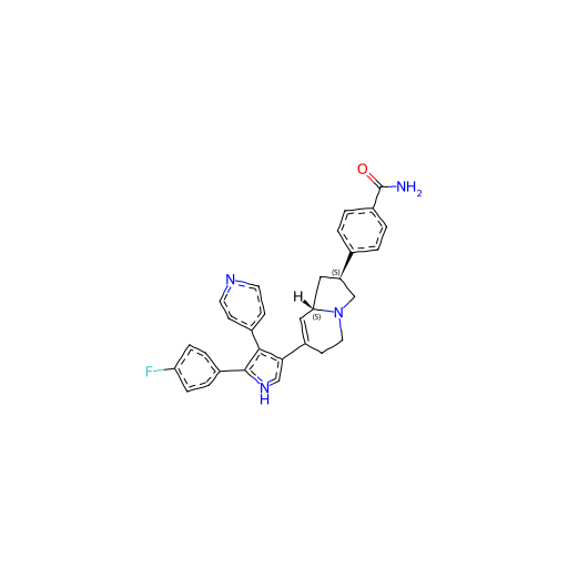 NC(=O)c1ccc([C@@H]2C[C@H]3C=C(c4c[nH]c(-c5ccc(F)cc5)c4-c4ccncc4)CCN3C2)cc1